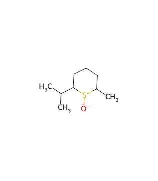 CC(C)C1CCCC(C)[S+]1[O-]